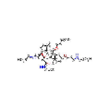 CCCCCCCCNC(=O)CC[C@@H](C)[C@H]1CC[C@@H](C)[C@]1(C)[C@H](C[C@@H](C)[C@@]1(C)CC[C@@H](OCCCNCS(=O)(=O)O)CC1C[C@H](C)OCCCNC)OCCCNCS(=O)(=O)O